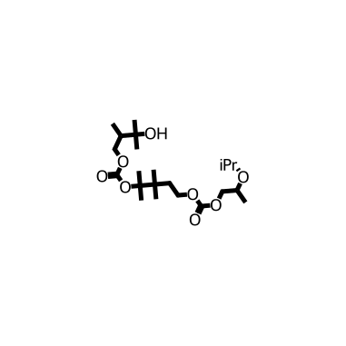 CC(C)OC(C)COC(=O)OCCC(C)(C)C(C)(C)OC(=O)OCC(C)C(C)(C)O